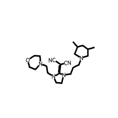 CC1CC(C)CN(CCCN2CCN(CCN3CCOCC3)C2=C(C#N)C#N)C1